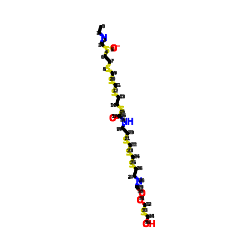 CC/N=C/[S+]([O-])CCSCSCSCCSC(=O)NCCSCSCSCC/N=C/OOCSCO